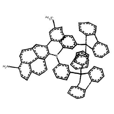 Cc1cccc(-c2cc3ccc4c(N)ccc5ccc(c2N(c2cccc(C6(c7ccccc7)c7ccccc7-c7ccccc76)c2)c2cccc(C6(c7ccccc7)c7ccccc7-c7ccccc76)c2)c3c54)c1